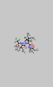 C[C@H](NC(=O)[C@@H]1[C@@H]2[C@H](CN1C(=O)[C@@H](NC(=O)C(F)(F)F)C(C)(C)C)C2(C)C)C(=O)CCl